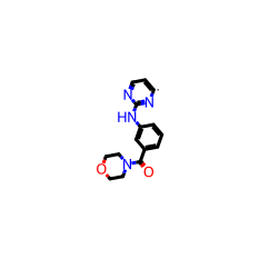 O=C(c1cccc(Nc2n[c]ccn2)c1)N1CCOCC1